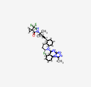 Cc1nnc2nc(N3CCCc4c(C#CC(C)(C)NC(=O)C5(C(F)(F)F)CC5)cccc43)c3c(F)cccc3n12